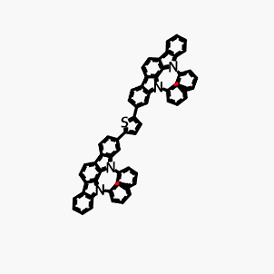 c1ccc(-n2c3ccccc3c3ccc4c5ccc(-c6ccc(-c7ccc8c9ccc%10c%11ccccc%11n(-c%11ccccc%11)c%10c9n(-c9ccccc9)c8c7)s6)cc5n(-c5ccccc5)c4c32)cc1